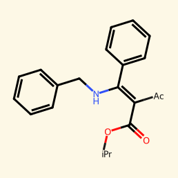 CC(=O)C(C(=O)OC(C)C)=C(NCc1ccccc1)c1ccccc1